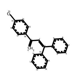 C=C(C=C(c1ccccc1)c1ccccc1)c1ccc(Cl)cc1